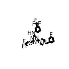 Fc1cccc(CN2CCN(c3nc(Nc4cccc(C(F)(F)F)c4)nc(OCC(F)(F)F)n3)CC2)c1